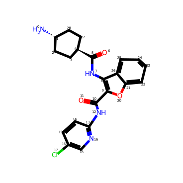 N[C@H]1CC[C@H](C(=O)Nc2c(C(=O)Nc3ccc(Cl)cn3)oc3ccccc23)CC1